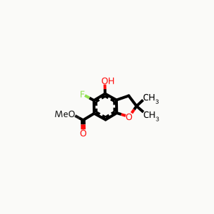 COC(=O)c1cc2c(c(O)c1F)CC(C)(C)O2